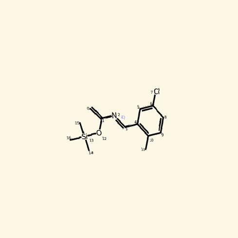 C=C(/N=C/c1cc(Cl)ccc1C)O[Si](C)(C)C